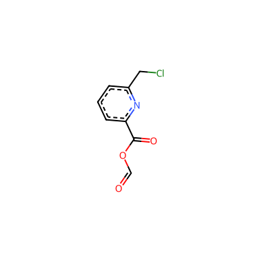 O=COC(=O)c1cccc(CCl)n1